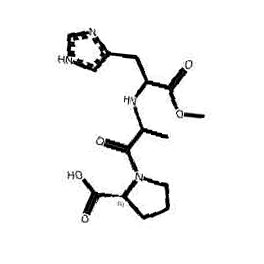 COC(=O)C(Cc1c[nH]cn1)NC(C)C(=O)N1CCC[C@H]1C(=O)O